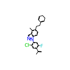 C=C(C)c1cc(Cl)c(-n2ncc3c(C)c(CCC4=CCCC=C4)ccc32)cc1F